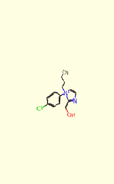 N#CCCC[N+]1(c2ccc(Cl)cc2)C=CN=C1CO